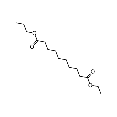 CCCOC(=O)CCCCCCCCC(=O)OCC